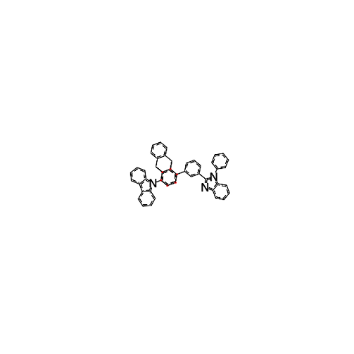 c1ccc(-n2c(-c3cccc(-c4cccc5c4C4c6ccccc6C5c5c4cccc5-n4c5ccccc5c5ccccc54)c3)nc3ccccc32)cc1